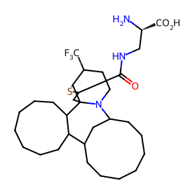 N[C@H](CNC(=O)C1CC23C4CCCCCCCC4C4CCCCCCCC(C4)N2CCC(C(F)(F)F)C3S1)C(=O)O